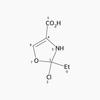 CCC1(Cl)NC(C(=O)O)=CO1